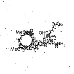 C=C(CBr)C(=O)OCCCCC(C=O)N[C@H](C(=O)N[C@@H](CCCNC(N)=O)C(=O)Nc1ccc(C(=O)N(C)[C@@H](C)C(=O)O[C@H]2CC(=O)N(C)c3cc(cc(OC)c3Cl)C/C(C)=C/C=C/[C@@H](OC)[C@@]3(O)C[C@H](OC(=O)N3)[C@@H](C)[C@@H]3O[C@@]23C)c(F)c1)C(C)C